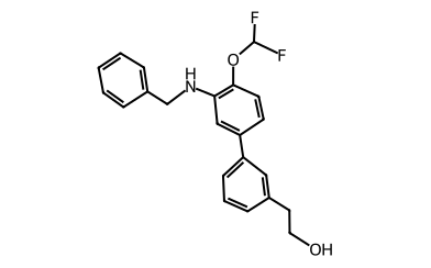 OCCc1cccc(-c2ccc(OC(F)F)c(NCc3ccccc3)c2)c1